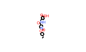 CC[C@H]1CC[C@@H](OC(=O)N2CCC(C(=O)NCc3ccc(O)c(OC)c3)CC2)CC1